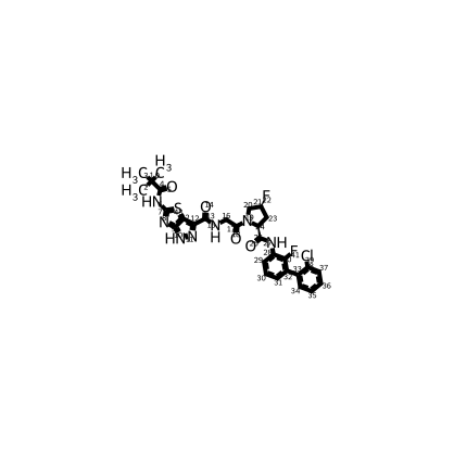 CC(C)(C)C(=O)Nc1nc2[nH]nc(C(=O)NCC(=O)N3C[C@H](F)C[C@H]3C(=O)Nc3cccc(-c4ccccc4Cl)c3F)c2s1